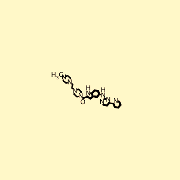 CN1CCN(CCN2CCN(C(=O)c3cc4cc(Nc5nccc(-c6ccccn6)n5)ccc4[nH]3)CC2)CC1